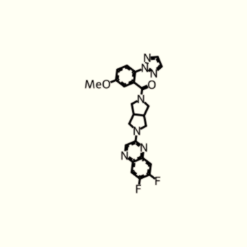 COc1ccc(-n2nccn2)c(C(=O)N2CC3CN(c4cnc5cc(F)c(F)cc5n4)CC3C2)c1